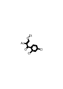 CCOC=C(C(C)=O)C(=O)c1ccc(Cl)cc1Cl